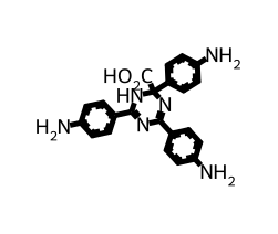 Nc1ccc(C2=NC(C(=O)O)(c3ccc(N)cc3)NC(c3ccc(N)cc3)=N2)cc1